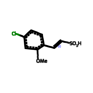 COc1cc(Cl)ccc1/C=C/S(=O)(=O)O